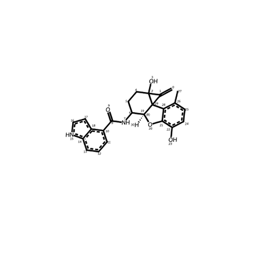 C=C1C2(O)CCC(NC(=O)c3cccc4[nH]ccc34)[C@@H]3Oc4c(O)ccc(C)c4C132